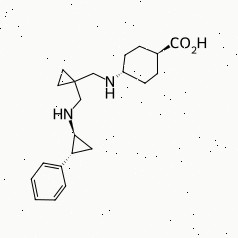 O=C(O)[C@H]1CC[C@H](NCC2(CN[C@H]3C[C@@H]3c3ccccc3)CC2)CC1